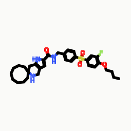 CCCCOc1ccc(S(=O)(=O)c2ccc(CNC(=O)c3cc4c([nH]3)CC3(CCCCCCCC3)NC4)cc2)cc1F